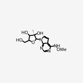 CONc1ncnc2c1ccn2C1OC(CO)C(O)[C@@]1(C)O